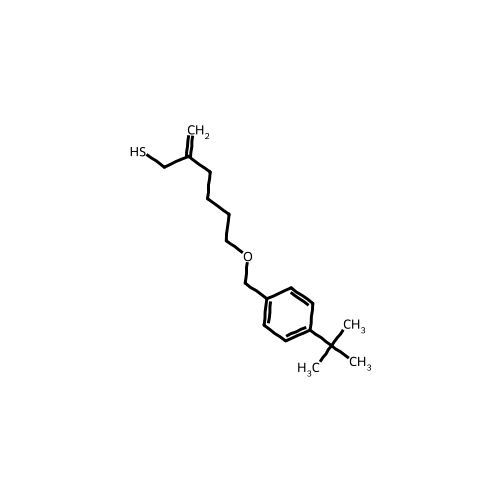 C=C(CS)CCCCOCc1ccc(C(C)(C)C)cc1